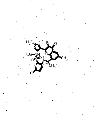 Cc1cc([C@@H](C)Nc2ccc(Cl)nc2S(=O)(=O)NC(C)(C)C)c2oc(-c3cnn(C)c3)c(Br)c(=O)c2c1